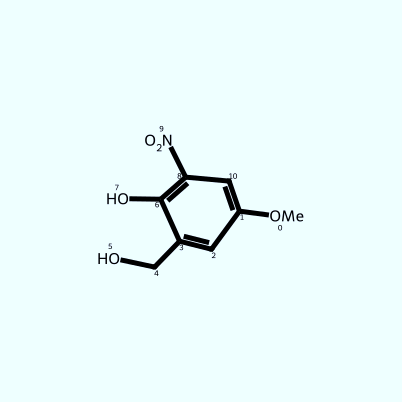 COc1cc(CO)c(O)c([N+](=O)[O-])c1